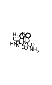 Cc1[nH]nc(C(=O)NC(Cc2ccccc2)C(=O)C(N)=O)c1-c1ccncc1